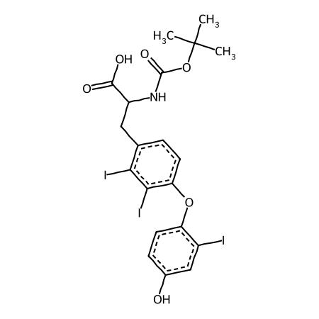 CC(C)(C)OC(=O)NC(Cc1ccc(Oc2ccc(O)cc2I)c(I)c1I)C(=O)O